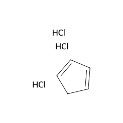 C1=CCC=C1.Cl.Cl.Cl